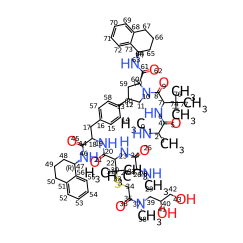 CNC(C)C(=O)NC(C(=O)N1C[C@@H](c2ccc(CC(NC(=O)C(NC(=O)C(C)NC)C(C)(C)SCC(=O)N(C)CC(O)CO)C(=O)N[C@@H]3CCCc4ccccc43)cc2)C[C@H]1C(=O)N[C@@H]1CCCc2ccccc21)C(C)(C)C